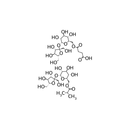 CC(C)C(=O)OC[C@H]1O[C@H](O[C@]2(CO)O[C@H](CO)[C@@H](O)[C@@H]2O)[C@H](O)[C@@H](O)[C@@H]1O.O=C(O)CCC(=O)OC[C@H]1O[C@H](O[C@]2(CO)O[C@H](CO)[C@@H](O)[C@@H]2O)[C@H](O)[C@@H](O)[C@@H]1O